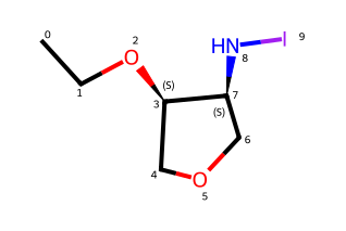 CCO[C@@H]1COC[C@@H]1NI